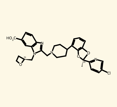 C[C@@]1(c2ccc(Cl)cn2)Oc2cccc(C3CCN(Cc4nc5ccc(C(=O)O)cc5n4C[C@@H]4CCO4)CC3)c2O1